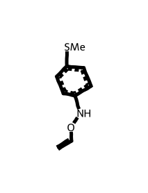 C=CONc1ccc(SC)cc1